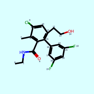 CCNC(=O)c1c(C)c(Cl)cc(CCO)c1-c1cc(F)cc(F)c1